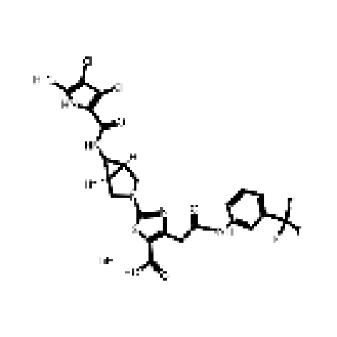 Cc1[nH]c(C(=O)NC2[C@H]3CN(c4nc(CC(=O)Nc5cccc(C(F)(F)F)c5)c(C(=O)O)s4)C[C@@H]23)c(Cl)c1Cl.[LiH]